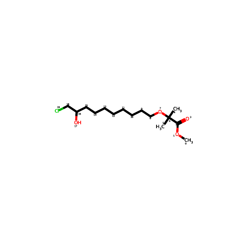 COC(=O)C(C)(C)OCCCCCCCCC(O)CCl